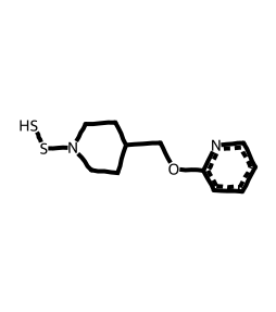 SSN1CCC(COc2ccccn2)CC1